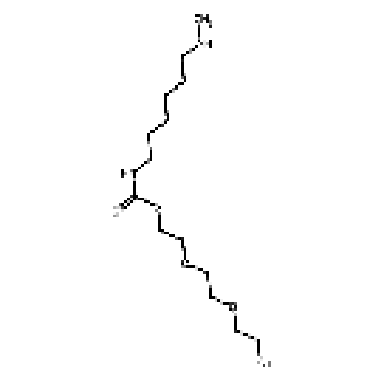 CNCCCCCCNC(=O)SCCOCCOCCS